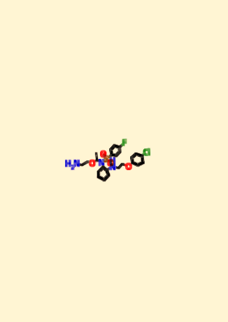 CC(OCCN)N(c1ccccc1NCCOc1ccc(Cl)cc1)S(=O)(=O)c1ccc(F)cc1